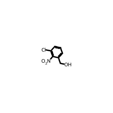 O=[N+]([O-])c1c(Cl)cccc1CO